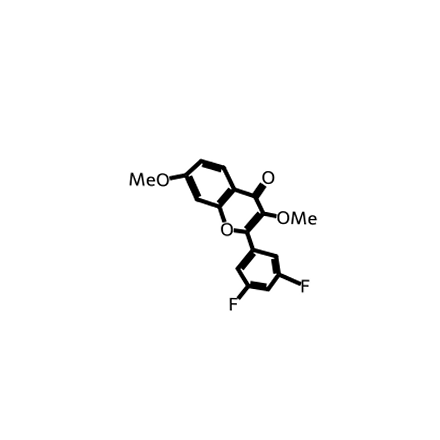 COc1ccc2c(=O)c(OC)c(-c3cc(F)cc(F)c3)oc2c1